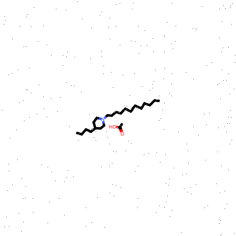 CC(=O)O.CCCCCCCCCCCCN1CCC(CCCC)CC1